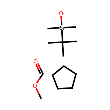 C1CCCC1.CC(C)(C)[Si](C)(C)[O].COC=O